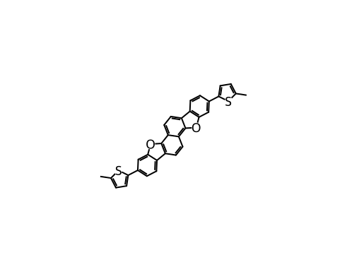 Cc1ccc(-c2ccc3c(c2)oc2c3ccc3c2ccc2c4ccc(-c5ccc(C)s5)cc4oc23)s1